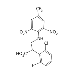 O=C(O)C(CNc1c([N+](=O)[O-])cc(C(F)(F)F)cc1[N+](=O)[O-])c1c(F)cccc1Cl